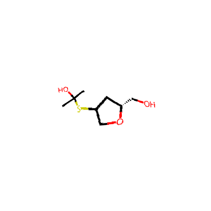 CC(C)(O)SC1CO[C@@H](CO)C1